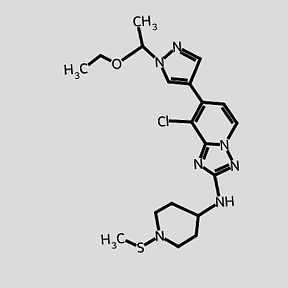 CCOC(C)n1cc(-c2ccn3nc(NC4CCN(SC)CC4)nc3c2Cl)cn1